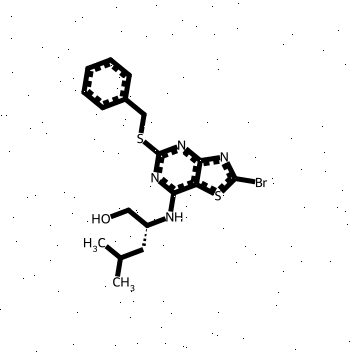 CC(C)C[C@H](CO)Nc1nc(SCc2ccccc2)nc2nc(Br)sc12